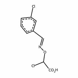 O=C(O)C(Cl)ON=Cc1cccc(Cl)c1